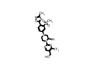 Cc1noc(-c2ccc(N3CCN(c4ncc(CO)c(C(F)(F)F)n4)C(C(C)C)C3)cc2S(C)(=O)=O)n1